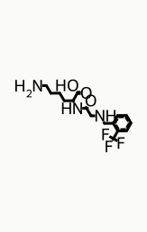 NCCCCC(NC(=O)CNCc1ccccc1C(F)(F)F)C(=O)O